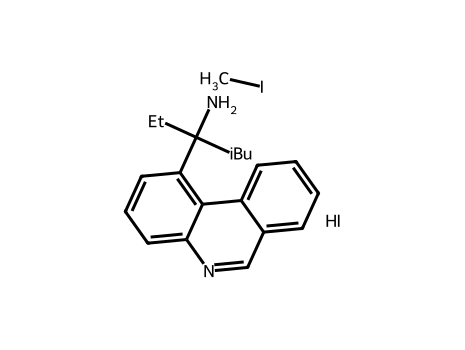 CCC(C)C(N)(CC)c1cccc2ncc3ccccc3c12.CI.I